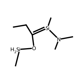 CC/C(O[SiH2]C)=[Si](\C)N(C)C